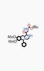 COc1cc2c(cc1OC)C(c1ccccc1)N1CCNC(C(=O)CNC(=O)OC(C)(C)C)C1C2